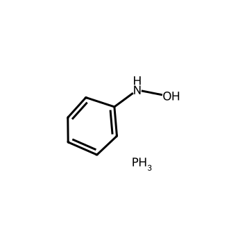 ONc1ccccc1.P